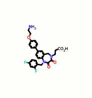 NCCOc1ccc(-c2ccc3c(c2)CN(CCC(=O)O)C(=O)C(=O)N3Cc2ccc(F)cc2F)cc1